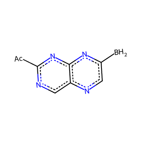 Bc1cnc2cnc(C(C)=O)nc2n1